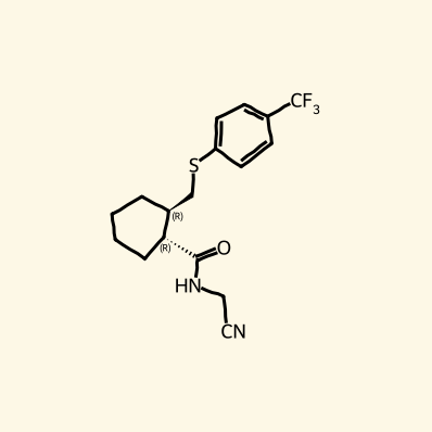 N#CCNC(=O)[C@@H]1CCCC[C@H]1CSc1ccc(C(F)(F)F)cc1